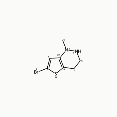 CN1NCCc2sc(Br)cc21